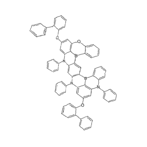 c1ccc(-c2ccccc2Oc2cc3c4c(c2)N(c2ccccc2)c2cc5c(cc2B4c2ccccc2O3)B2c3ccccc3N(c3ccccc3)c3cc(Oc4ccccc4-c4ccccc4)cc(c32)N5c2ccccc2)cc1